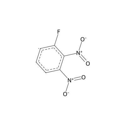 O=[N+]([O-])c1cc[c]c(F)c1[N+](=O)[O-]